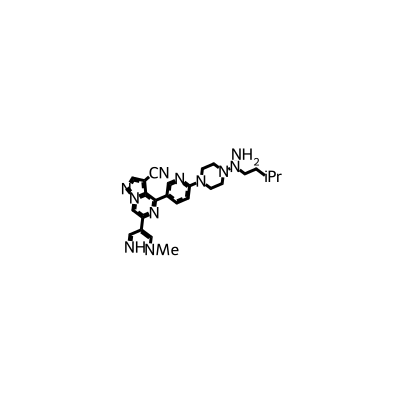 CN/C=C(\C=N)c1cn2ncc(C#N)c2c(-c2ccc(N3CCN(N(N)CCC(C)C)CC3)nc2)n1